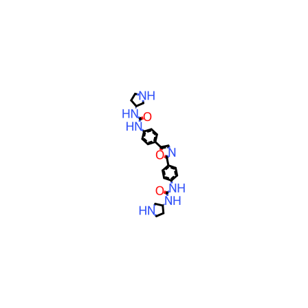 O=C(Nc1ccc(-c2cnc(-c3ccc(NC(=O)N[C@@H]4CCNC4)cc3)o2)cc1)N[C@@H]1CCNC1